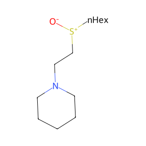 CCCCCC[S+]([O-])CCN1CCCCC1